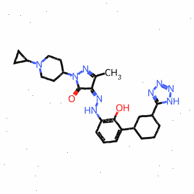 CC1=NN(C2CCN(C3CC3)CC2)C(=O)C1=NNc1cccc(C2CCCC(c3nnn[nH]3)C2)c1O